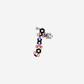 CC(C)(C)[Si](C)(C)OC(C(=O)N1CC2=C(C1)CN(S(=O)(=O)c1ccc3c(c1)OCCO3)C2)c1cccc(Br)c1